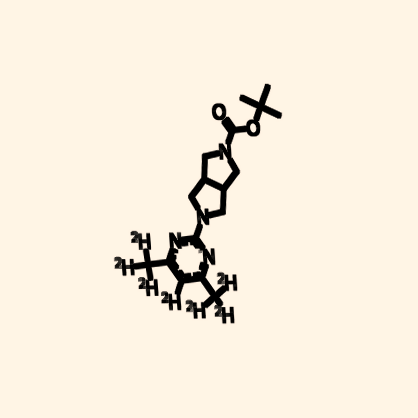 [2H]c1c(C([2H])([2H])[2H])nc(N2CC3CN(C(=O)OC(C)(C)C)CC3C2)nc1C([2H])([2H])[2H]